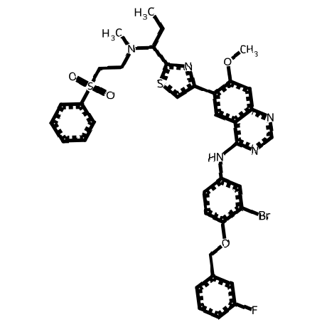 CCC(c1nc(-c2cc3c(Nc4ccc(OCc5cccc(F)c5)c(Br)c4)ncnc3cc2OC)cs1)N(C)CCS(=O)(=O)c1ccccc1